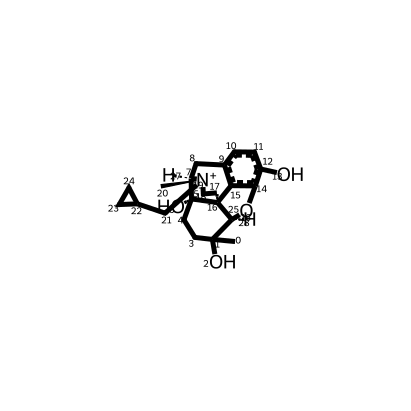 CC1(O)CC[C@@]2(O)[C@H]3Cc4ccc(O)c5c4[C@@]2(CC[N@+]3(C)CC2CC2)[C@H]1O5